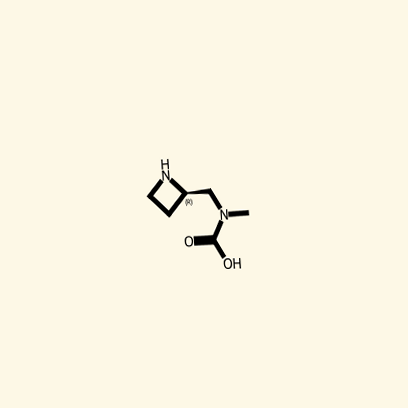 CN(C[C@H]1CCN1)C(=O)O